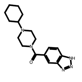 O=C(c1ccc2[nH]nnc2c1)N1CCN(C2CCCCC2)CC1